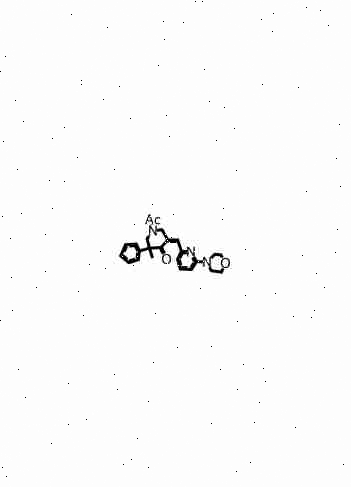 CC(=O)N1CC(=Cc2cccc(N3CCOCC3)n2)C(=O)C(C)(c2ccccc2)C1